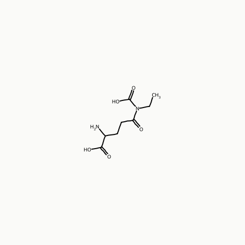 CCN(C(=O)O)C(=O)CCC(N)C(=O)O